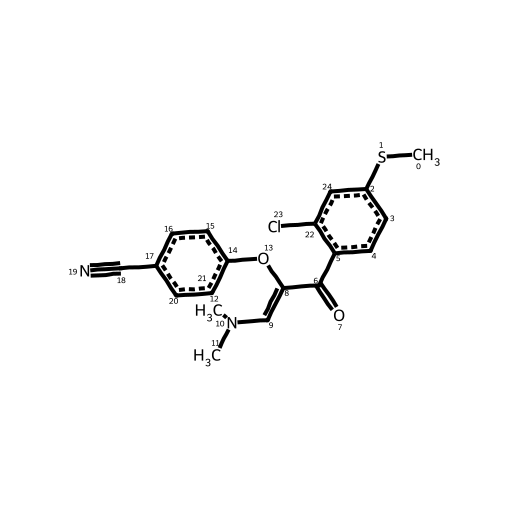 CSc1ccc(C(=O)/C(=C/N(C)C)Oc2ccc(C#N)cc2)c(Cl)c1